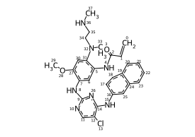 C=CC(=O)Nc1cc(Nc2ncc(Cl)c(Nc3ccc4ccccc4c3)n2)c(OC)cc1N(C)CCNC